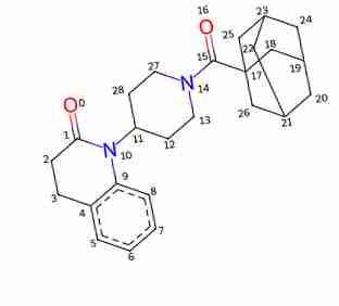 O=C1CCc2ccccc2N1C1CCN(C(=O)C23CC4CC(CC(C4)C2)C3)CC1